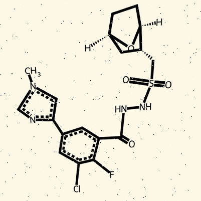 Cn1cnc(-c2cc(Cl)c(F)c(C(=O)NNS(=O)(=O)C[C@@H]3C[C@H]4CC[C@@H]3O4)c2)c1